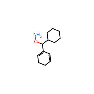 NOC(C1=CCCC=C1)C1CCCCC1